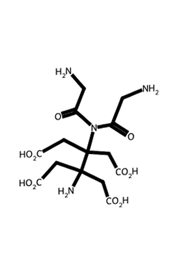 NCC(=O)N(C(=O)CN)C(CC(=O)O)(CC(=O)O)C(N)(CC(=O)O)CC(=O)O